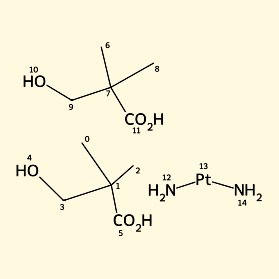 CC(C)(CO)C(=O)O.CC(C)(CO)C(=O)O.[NH2][Pt][NH2]